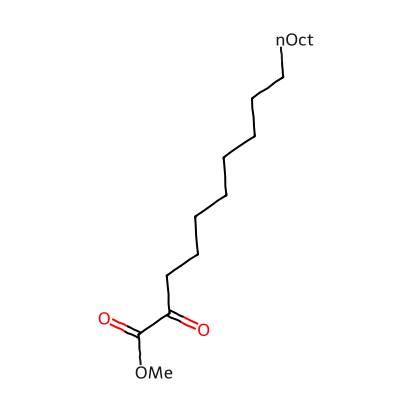 CCCCCCCCCCCCCCCCC(=O)C(=O)OC